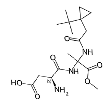 COC(=O)C(C)(NC(=O)CC1(C(C)(C)C)CC1)NC(=O)[C@@H](N)CC(=O)O